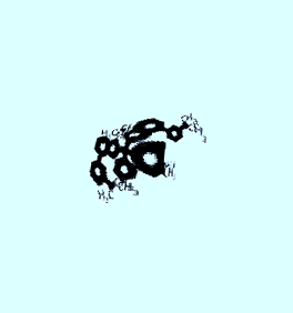 Cc1ccc(C2(c3ccc(C)cc3)C3=Cc4c(-c5cccc(C(C)C)c5)cccc4[CH]3[Hf]([CH3])([CH3])[CH]3C2=Cc2c(-c4cccc(C(C)C)c4)cccc23)cc1